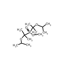 COP(=O)(C(C)(C)OC(C)C)C(C)(C)OC(C)C